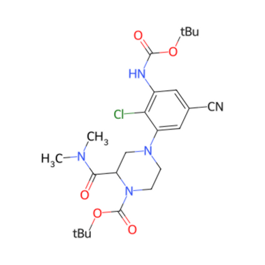 CN(C)C(=O)C1CN(c2cc(C#N)cc(NC(=O)OC(C)(C)C)c2Cl)CCN1C(=O)OC(C)(C)C